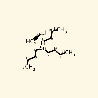 C#CCl.CCC[CH2][SnH]([CH2]CCC)[CH2]CCC